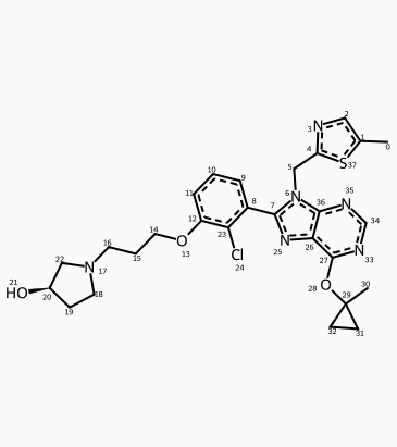 Cc1cnc(Cn2c(-c3cccc(OCCCN4CC[C@@H](O)C4)c3Cl)nc3c(OC4(C)CC4)ncnc32)s1